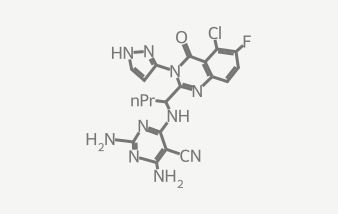 CCCC(Nc1nc(N)nc(N)c1C#N)c1nc2ccc(F)c(Cl)c2c(=O)n1-c1cc[nH]n1